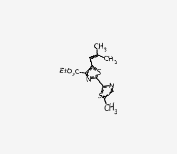 CCOC(=O)c1nc(-c2ncc(C)s2)sc1C=C(C)C